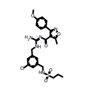 CCCS(=O)(=O)NCc1cc(Cl)cc(CN/C(N)=N\C(=O)c2c(-c3ccc(OC)cc3)noc2C)c1